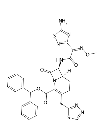 CO/N=C(\C(=O)N[C@@H]1C(=O)N2C(C(=O)OC(c3ccccc3)c3ccccc3)=C(Sc3nncs3)CC[C@H]12)c1nsc(N)n1